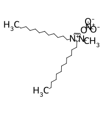 CCCCCCCCCCCCc1n(C)cc[n+]1CCCCCCCCCCCC.O=[N+]([O-])[O-]